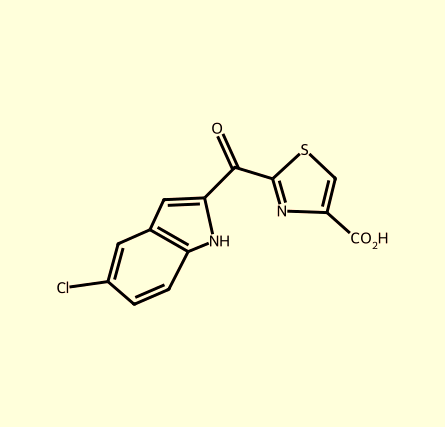 O=C(O)c1csc(C(=O)c2cc3cc(Cl)ccc3[nH]2)n1